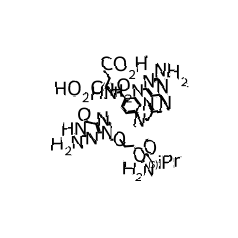 CC(C)[C@H](N)C(=O)OCCOCn1cnc2c(=O)[nH]c(N)nc21.CN(Cc1cnc2nc(N)nc(N)c2n1)c1ccc(C(=O)N[C@@H](CCC(=O)O)C(=O)O)cc1